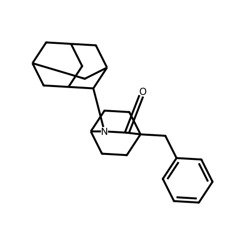 O=C1N(C2C3CC4CC(C3)CC2C4)C2CCC1(Cc1ccccc1)CC2